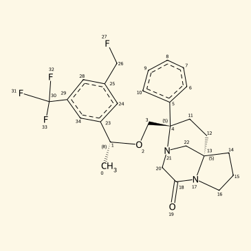 C[C@@H](OC[C@@]1(c2ccccc2)CC[C@]23CCCN2C(=O)CN1C3)c1cc(CF)cc(C(F)(F)F)c1